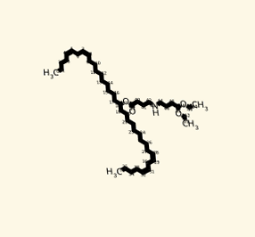 CCCC/C=C\C/C=C\CCCCCCCCCC(CCCCCCCCC/C=C\C/C=C\CCCC)OC(=O)CCCNCCCC(OCC)OCC